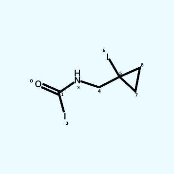 O=C(I)NCC1(I)CC1